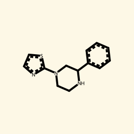 c1ccc(C2CN(c3nccs3)CCN2)cc1